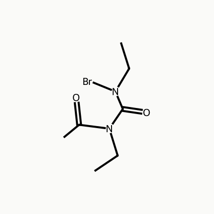 CCN(Br)C(=O)N(CC)C(C)=O